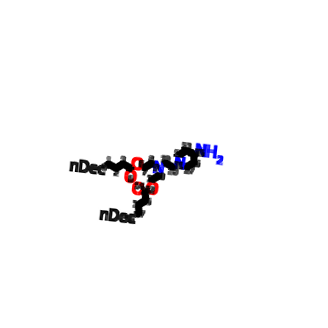 CCCCCCCCCCCCCC(=O)OCCN(CCOC(=O)CCCCCCCCCCCCC)CCN1CCC(N)CC1